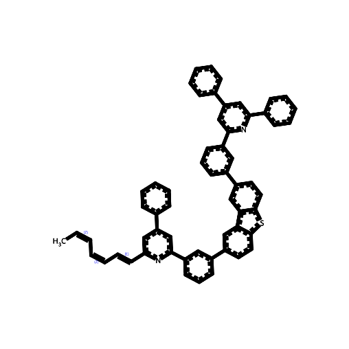 C\C=C/C=C\C=C\c1cc(-c2ccccc2)cc(-c2cccc(-c3ccc4sc5ccc(-c6cccc(-c7cc(-c8ccccc8)cc(-c8ccccc8)n7)c6)cc5c4c3)c2)n1